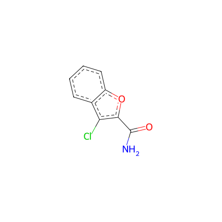 NC(=O)c1oc2ccccc2c1Cl